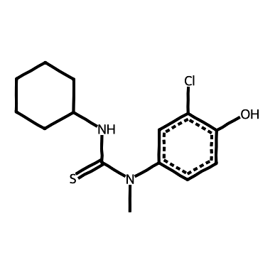 CN(C(=S)NC1CCCCC1)c1ccc(O)c(Cl)c1